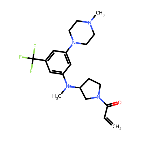 C=CC(=O)N1CC[C@H](N(C)c2cc(N3CCN(C)CC3)cc(C(F)(F)F)c2)C1